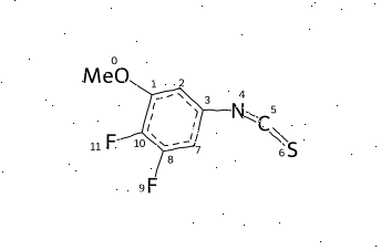 COc1cc(N=C=S)cc(F)c1F